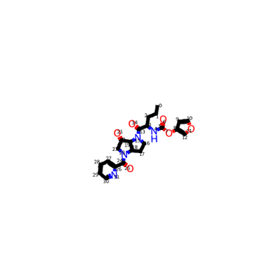 CCCC(NC(=O)Oc1ccoc1)C(=O)N1CCC2C1C(=O)CN2C(=O)c1ccccn1